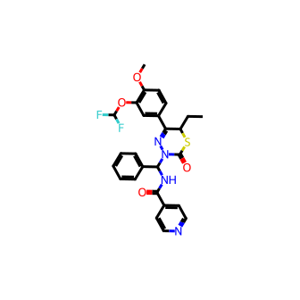 CCC1SC(=O)N(C(NC(=O)c2ccncc2)c2ccccc2)N=C1c1ccc(OC)c(OC(F)F)c1